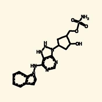 NS(=O)(=O)OCC1CC(N2NNc3c(Nn4ccc5ccccc54)ncnc32)CC1O